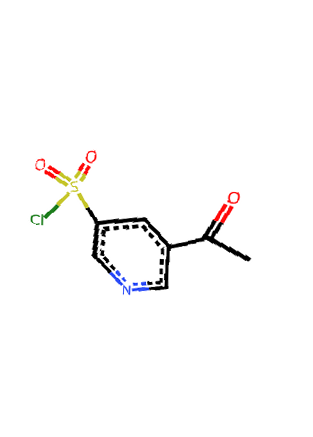 CC(=O)c1cncc(S(=O)(=O)Cl)c1